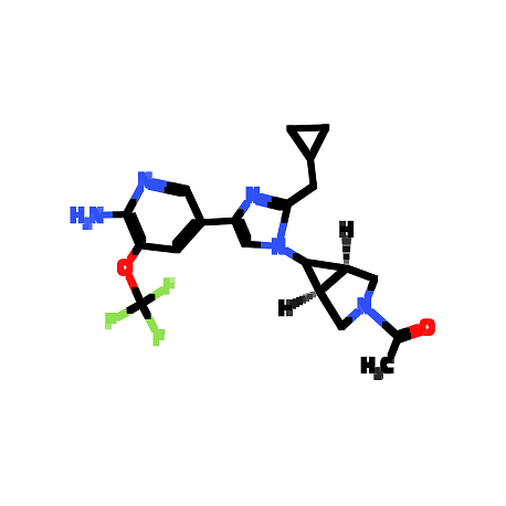 CC(=O)N1C[C@@H]2C(n3cc(-c4cnc(N)c(OC(F)(F)F)c4)nc3CC3CC3)[C@@H]2C1